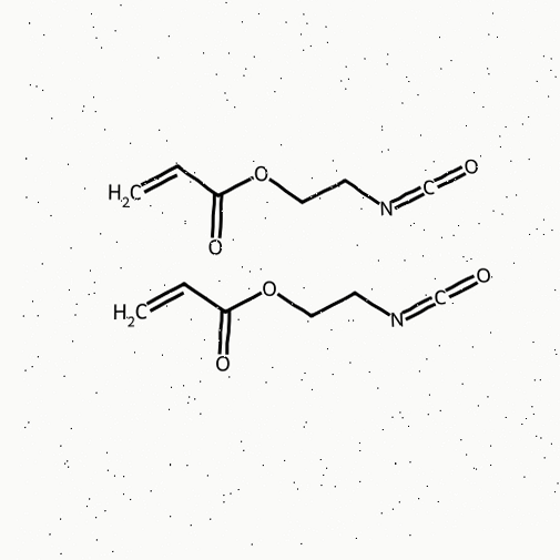 C=CC(=O)OCCN=C=O.C=CC(=O)OCCN=C=O